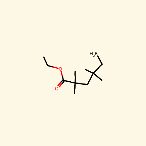 BCC(C)(C)CC(C)(C)C(=O)OCC